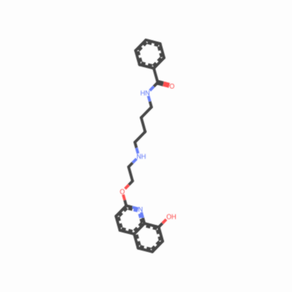 O=C(NCCCCNCCOc1ccc2cccc(O)c2n1)c1ccccc1